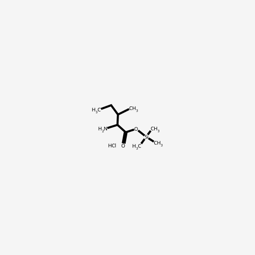 CCC(C)C(N)C(=O)O[Si](C)(C)C.Cl